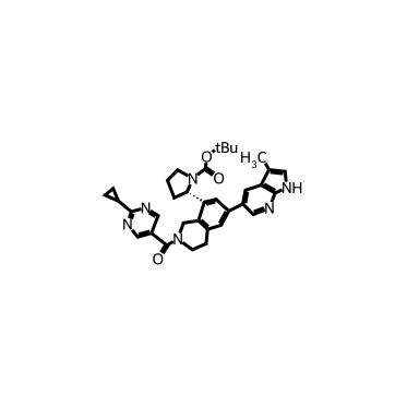 Cc1c[nH]c2ncc(-c3cc4c(c([C@@H]5CCCN5C(=O)OC(C)(C)C)c3)CN(C(=O)c3cnc(C5CC5)nc3)CC4)cc12